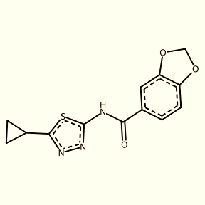 O=C(Nc1nnc(C2CC2)s1)c1ccc2c(c1)OCO2